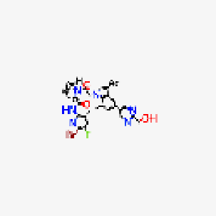 CC(=O)c1cn(CC(=O)N2[C@H](C(=O)Nc3nc(Br)c(F)cc3C)C[C@@]3(C)C[C@@H]23)c2c(C)cc(-c3cnc(C(C)O)nc3)cc12